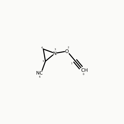 C#CON1CC1C#N